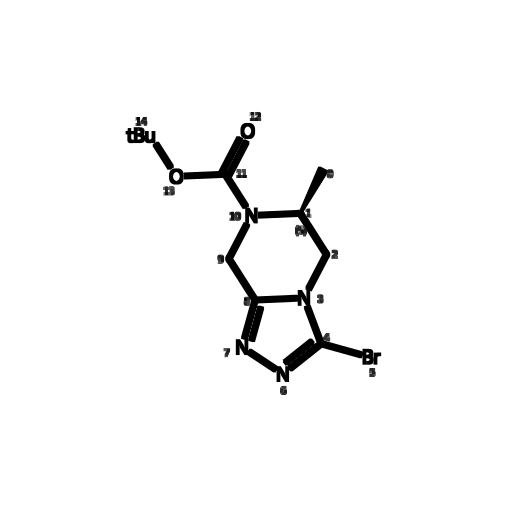 C[C@H]1Cn2c(Br)nnc2CN1C(=O)OC(C)(C)C